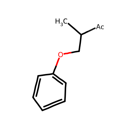 CC(=O)C(C)COc1ccccc1